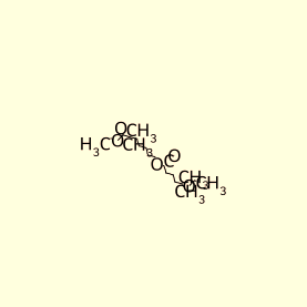 CCOC(=O)C(C)(C)CCCCCOC(=C=O)CCCC(C)(C)OCC